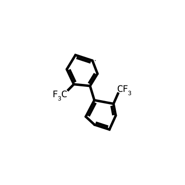 FC(F)(F)c1cc[c]cc1-c1ccccc1C(F)(F)F